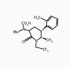 Cc1ccccc1[C@@H]1CC(N(C(=O)O)C(C)(C)C)C(=O)N(CC(F)(F)F)[C@@H]1C